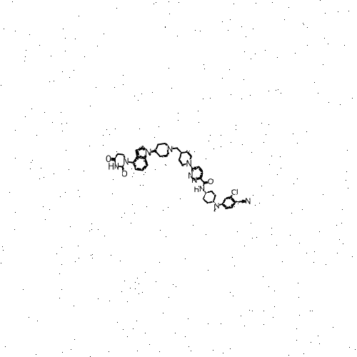 CN(c1ccc(C#N)c(Cl)c1)[C@H]1CC[C@H](NC(=O)c2ccc(N3CCC(CN4CCC(n5ccc6c(N7CCC(=O)NC7=O)cccc65)CC4)CC3)nn2)CC1